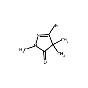 CC(C)C1=NN(C)C(=O)C1(C)C